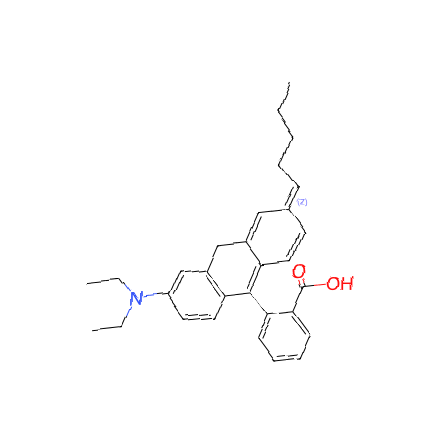 CCCC/C=c1/ccc2c(c1)Cc1cc(N(CC)CC)ccc1C=2c1ccccc1C(=O)O